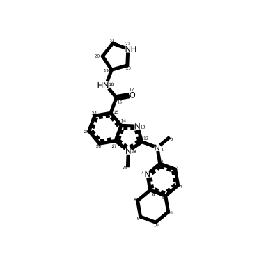 CN(c1ccc2c(n1)CCCC2)c1nc2c(C(=O)NC3CCNC3)cccc2n1C